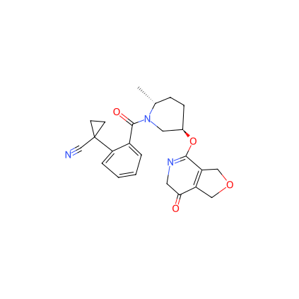 C[C@@H]1CC[C@@H](OC2=NCC(=O)C3=C2COC3)CN1C(=O)c1ccccc1C1(C#N)CC1